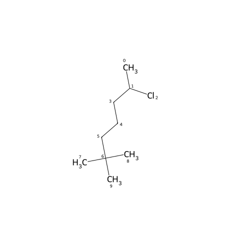 CC(Cl)CCCC(C)(C)C